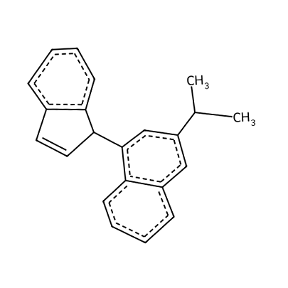 CC(C)c1cc(C2C=Cc3ccccc32)c2ccccc2c1